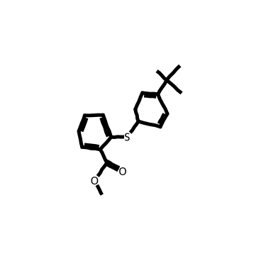 COC(=O)c1ccccc1SC1C=CC(C(C)(C)C)=CC1